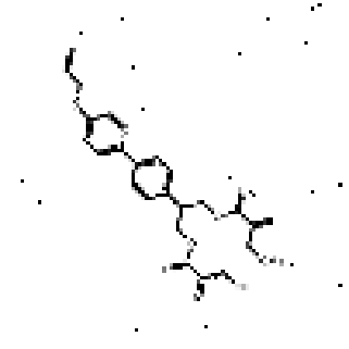 C=CCOc1ccc(-c2ccc(C(COC(=O)C(=C)CO)COC(=O)C(=C)COC)cc2)cc1